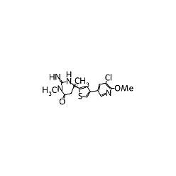 COc1ncc(-c2csc([C@]3(C)CC(=O)N(C)C(=N)N3)c2)cc1Cl